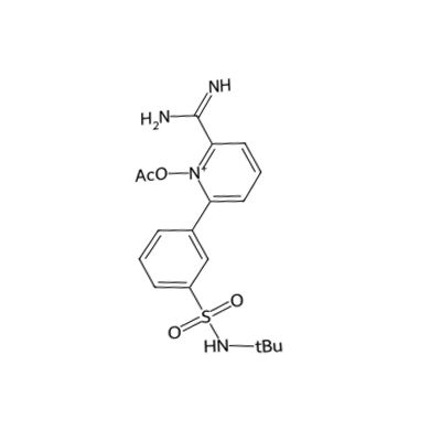 CC(=O)O[n+]1c(C(=N)N)cccc1-c1cccc(S(=O)(=O)NC(C)(C)C)c1